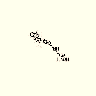 C[C@@H](Nc1ncnc2[nH]c(-c3ccc(OCCCNCCCCCC(=O)NO)cc3)cc12)c1ccccc1